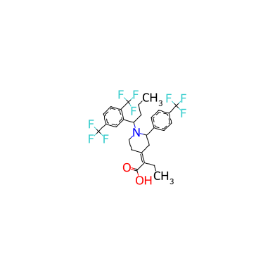 CCCC(c1cc(C(F)(F)F)ccc1C(F)(F)F)N1CC/C(=C(/CC)C(=O)O)CC1c1ccc(C(F)(F)F)cc1